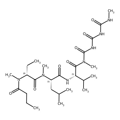 CCCC(=O)N(C)[C@H](CC)C(=O)N(C)[C@@H](CC(C)C)C(=O)N[C@H](C(=O)N(C)C(=O)NC(=O)NC(=O)NC)C(C)C